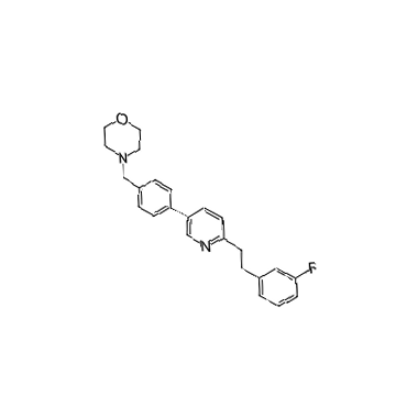 Fc1cccc(CCc2ccc(-c3ccc(CN4CCOCC4)cc3)cn2)c1